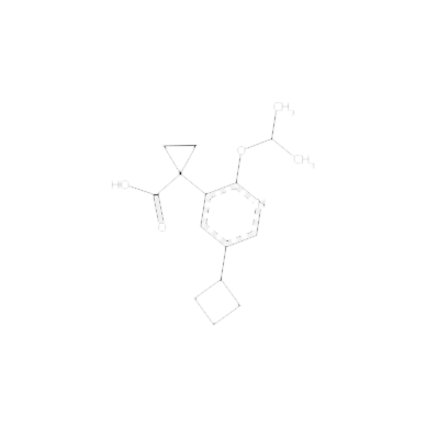 CC(C)Oc1ncc(C2CCC2)cc1C1(C(=O)O)CC1